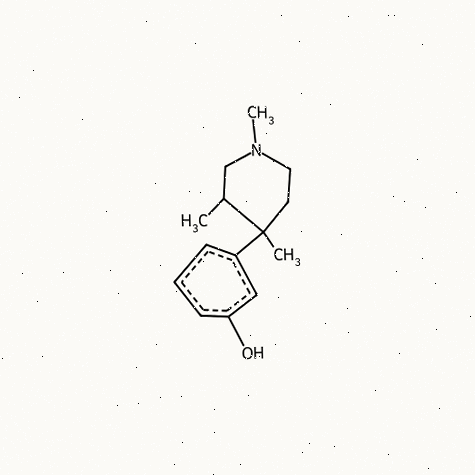 CC1CN(C)CCC1(C)c1cccc(O)c1